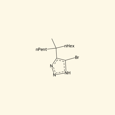 CCCCCCC(C)(CCCCC)c1nn[nH]c1Br